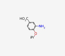 CC(C)Oc1ccc(C(=O)O)cc1N